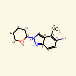 O=[N+]([O-])c1c(I)ccc2nn(C3CCCCO3)cc12